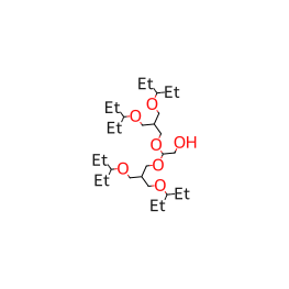 CCC(CC)OCC(COC(CC)CC)COC(CO)OCC(COC(CC)CC)COC(CC)CC